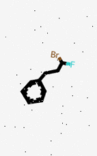 FC(Br)CCc1ccccc1